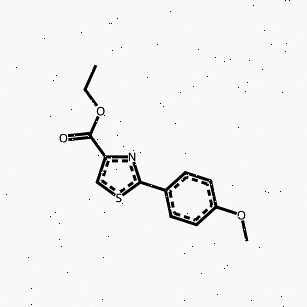 CCOC(=O)c1csc(-c2ccc(OC)cc2)n1